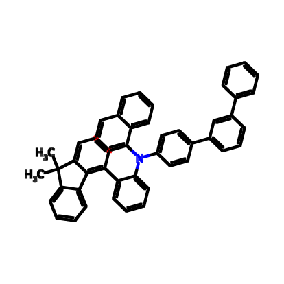 CC1(C)c2ccccc2-c2c(-c3ccccc3N(c3ccc(-c4cccc(-c5ccccc5)c4)cc3)c3cccc4ccccc34)cccc21